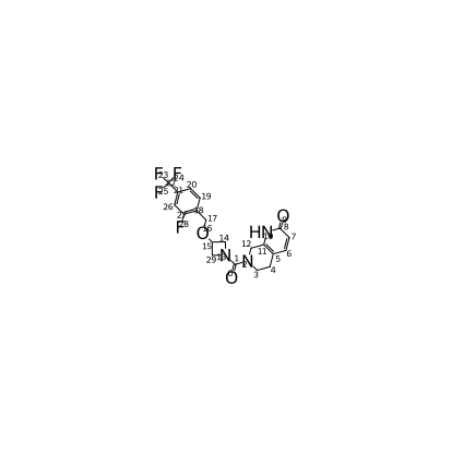 O=C(N1CCc2ccc(=O)[nH]c2C1)N1CC(OCc2ccc(C(F)(F)F)cc2F)C1